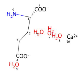 N[C@@H](CCC(=O)[O-])C(=O)[O-].O.O.O.O.[Ca+2]